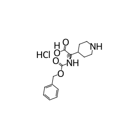 Cl.O=C(N[C@@H](C(=O)O)C1CCNCC1)OCc1ccccc1